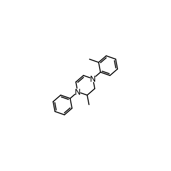 Cc1ccccc1N1C=CN(c2ccccc2)C(C)C1